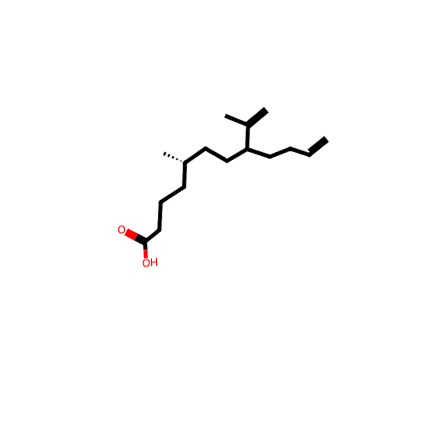 C=CCCC(CC[C@@H](C)CCCC(=O)O)C(=C)C